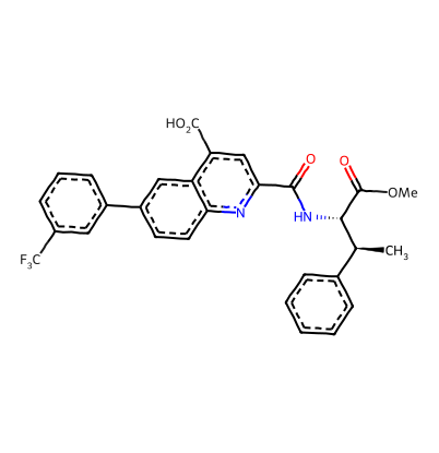 COC(=O)[C@@H](NC(=O)c1cc(C(=O)O)c2cc(-c3cccc(C(F)(F)F)c3)ccc2n1)[C@@H](C)c1ccccc1